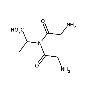 CC(C(=O)O)N(C(=O)CN)C(=O)CN